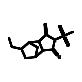 CCC1CC2CC1C1C(=O)N(S(C)(=O)=O)C(=O)C21